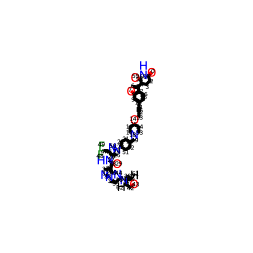 O=C1CCC(c2coc3cc(C#CCOC4CCN(CC5CCC(n6cc(NC(=O)c7cnn8ccc(N9C[C@H]%10C[C@@H]9CO%10)nc78)c(C(F)F)n6)CC5)CC4)ccc23)C(=O)N1